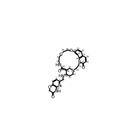 O=C1COc2ccc(CN[C@@H]3CCN4CCn5c(=O)ccc6ccc(cc65)OCCOCCNC(=O)[C@H]3C4)nc2N1